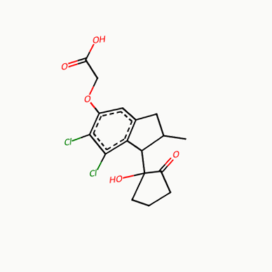 CC1Cc2cc(OCC(=O)O)c(Cl)c(Cl)c2C1C1(O)CCCC1=O